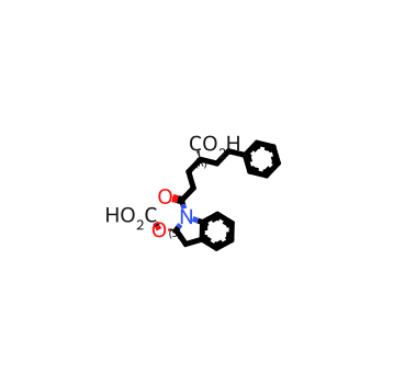 O=C(O)O[C@H]1Cc2ccccc2N1C(=O)CC[C@@H](CCc1ccccc1)C(=O)O